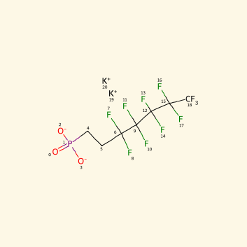 O=P([O-])([O-])CCC(F)(F)C(F)(F)C(F)(F)C(F)(F)C(F)(F)F.[K+].[K+]